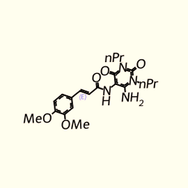 CCCn1c(N)c(NC(=O)/C=C/c2ccc(OC)c(OC)c2)c(=O)n(CCC)c1=O